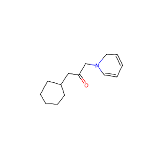 O=C(CC1CCCCC1)CN1C=CC=CC1